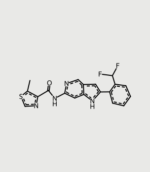 Cc1scnc1C(=O)Nc1cc2[nH]c(-c3ccccc3C(F)F)cc2cn1